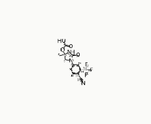 CC1(OC(=O)O)CN(c2ccc(C#N)c(C(F)(F)F)c2)C(=O)N1